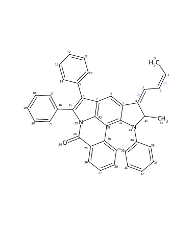 C/C=C\C=C1\c2cc3c(-c4ccccc4)c(-c4ccccc4)n4c(=O)c5ccccc5c(c2N(c2ccccc2)C1C)c34